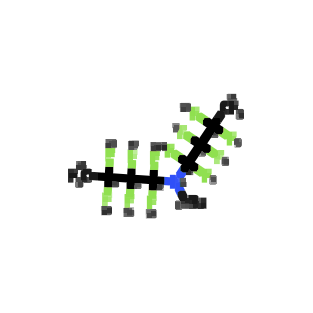 CCCCN(C(F)(F)C(F)(F)C(F)(F)C(F)(F)F)C(F)(F)C(F)(F)C(F)(F)C(F)(F)F